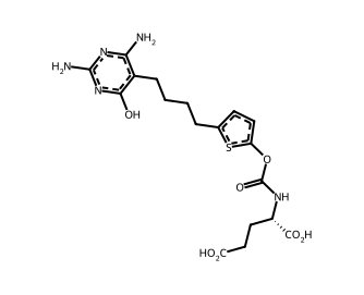 Nc1nc(N)c(CCCCc2ccc(OC(=O)N[C@@H](CCC(=O)O)C(=O)O)s2)c(O)n1